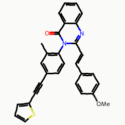 COc1ccc(/C=C/c2nc3ccccc3c(=O)n2-c2ccc(C#Cc3cccs3)cc2C)cc1